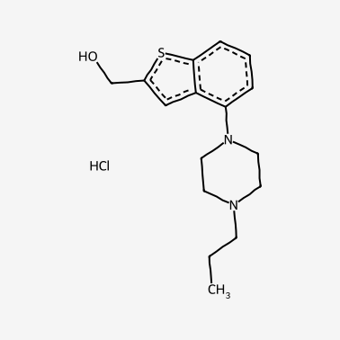 CCCN1CCN(c2cccc3sc(CO)cc23)CC1.Cl